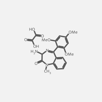 COc1cc(OC)c(C2=NC(N)C(=O)N(C)c3ccccc32)c(OC)c1.O=C(O)C(=O)O